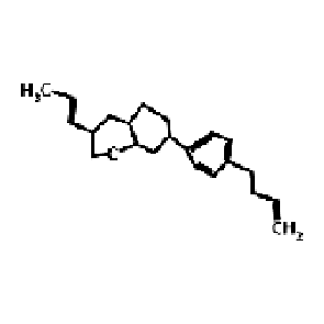 C=CCCc1ccc(C2CCC3CC(C=CC)CCC3C2)cc1